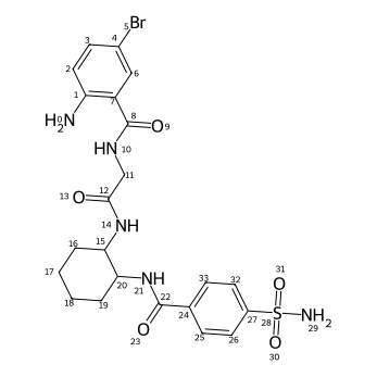 Nc1ccc(Br)cc1C(=O)NCC(=O)NC1CCCCC1NC(=O)c1ccc(S(N)(=O)=O)cc1